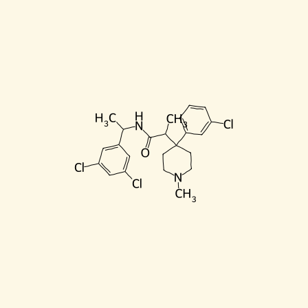 CC(NC(=O)C(C)C1(c2cccc(Cl)c2)CCN(C)CC1)c1cc(Cl)cc(Cl)c1